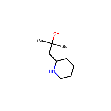 CC(C)(C)C(O)(CC1CCCCN1)C(C)(C)C